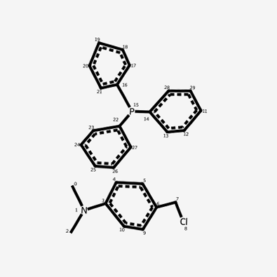 CN(C)c1ccc(CCl)cc1.c1ccc(P(c2ccccc2)c2ccccc2)cc1